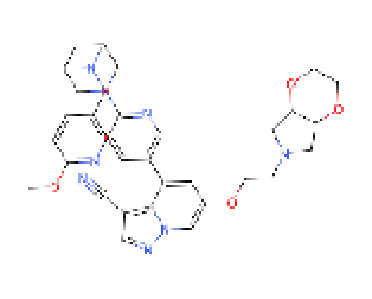 COc1ccc(CN2C3CC2CN(c2ccc(-c4cc(OCCN5CC6OCCOC6C5)cn5ncc(C#N)c45)cn2)C3)cn1